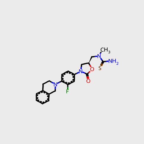 CN(C[C@@H]1CN(c2ccc(N3CCc4ccccc4C3)c(F)c2)C(=O)O1)C(N)=S